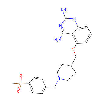 CS(=O)(=O)c1ccc(CN2CCC(COc3cccc4nc(N)nc(N)c34)CC2)cc1